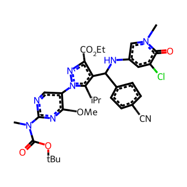 CCOC(=O)c1nn(-c2cnc(N(C)C(=O)OC(C)(C)C)nc2OC)c(C(C)C)c1C(Nc1cc(Cl)c(=O)n(C)c1)c1ccc(C#N)cc1